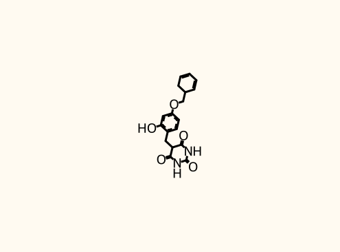 O=C1NC(=O)C(Cc2ccc(OCC3C=CC=CC3)cc2O)C(=O)N1